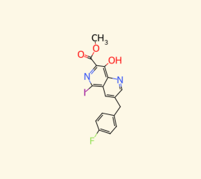 COC(=O)c1nc(I)c2cc(Cc3ccc(F)cc3)cnc2c1O